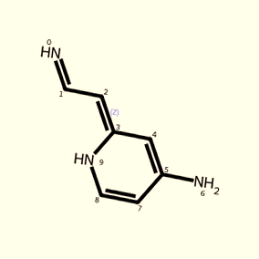 N=C/C=C1/C=C(N)C=CN1